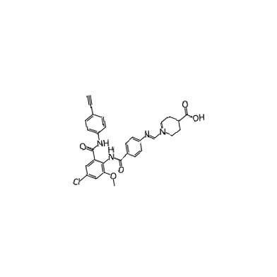 C#Cc1ccc(NC(=O)c2cc(Cl)cc(OC)c2NC(=O)c2ccc(N=CN3CCC(C(=O)O)CC3)cc2)cc1